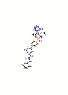 CC(C)(NS(=O)(=O)c1ccc(-c2cccc(CNCc3ccccc3)c2)cc1)c1cnn[nH]1